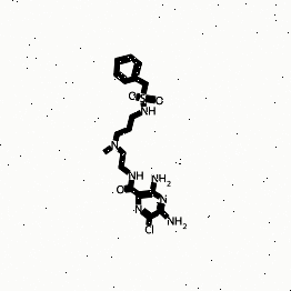 CN(CCCNS(=O)(=O)Cc1ccccc1)CCNC(=O)c1nc(Cl)c(N)nc1N